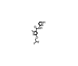 Cn1nc(OCC(F)F)cc1C(=O)Nc1cc[nH]n1